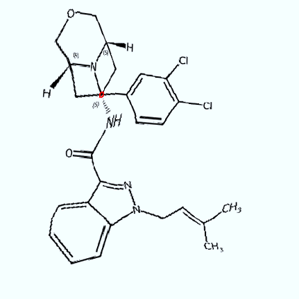 CC(C)=CCn1nc(C(=O)N[C@H]2C[C@H]3COC[C@@H](C2)N3Cc2ccc(Cl)c(Cl)c2)c2ccccc21